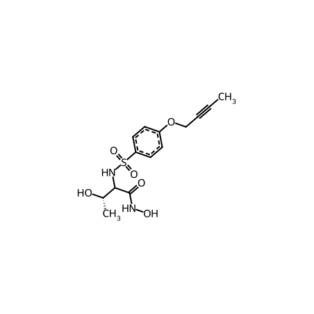 CC#CCOc1ccc(S(=O)(=O)NC(C(=O)NO)[C@H](C)O)cc1